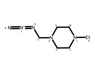 CCN1CCN(CN=[N+]=[N-])CC1